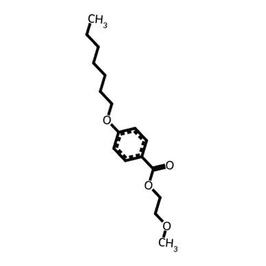 CCCCCCCOc1ccc(C(=O)OCCOC)cc1